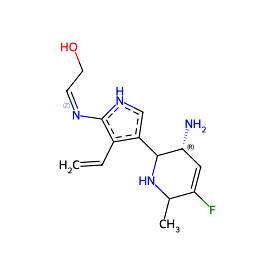 C=Cc1c(C2NC(C)C(F)=C[C@H]2N)c[nH]c1/N=C\CO